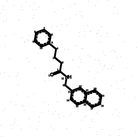 O=C(CCCc1ccccc1)NCc1ccc2ccccc2c1